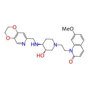 COc1ccc2ccc(=O)n(CCN3CC[C@H](NCc4cc5c(cn4)OCCO5)[C@H](O)C3)c2c1